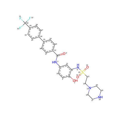 O=C(Nc1ccc(O)c(NS(=O)(=O)CCN2CCNCC2)c1)c1ccc(-c2ccc(C(F)(F)F)cc2)cc1